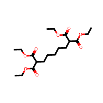 CCOC(=O)C(CC[CH]CCC(C(=O)OCC)C(=O)OCC)C(=O)OCC